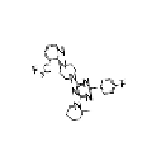 CC1CCCCN1c1nc(-c2ccc(F)cc2)nc(N2CCN(c3ncccc3C(F)(F)F)CC2)n1